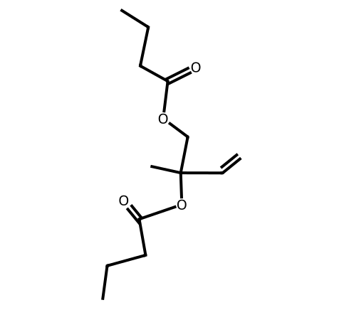 C=CC(C)(COC(=O)CCC)OC(=O)CCC